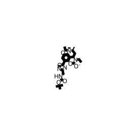 CCN(C(=O)[O-])[C@@H]1C[C@H](C)[N+](C)(C(C)=O)c2ccc(-c3nc(CNC(=O)OC(C)(C)C)no3)cc21